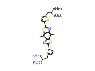 CCCCCCCCC(CCCCCC)Cc1ccc(-c2nc3c(C)c4sc(-c5ccc(CC(CCCCCC)CCCCCCCC)s5)nc4c(C)c3s2)s1